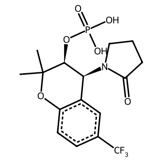 CC1(C)Oc2ccc(C(F)(F)F)cc2[C@H](N2CCCC2=O)[C@@H]1OP(=O)(O)O